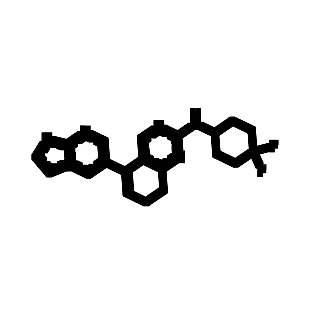 FC1(F)CCC(Nc2ncc3c(n2)CCC=C3c2cnc3nccn3c2)CC1